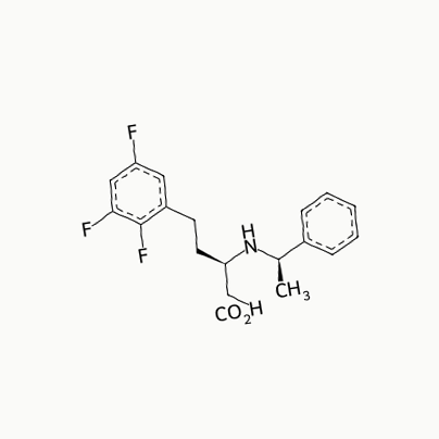 C[C@@H](N[C@H](CCc1cc(F)cc(F)c1F)CC(=O)O)c1ccccc1